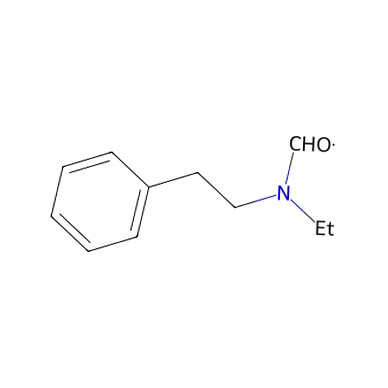 CCN([C]=O)CCc1ccccc1